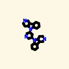 c1ccc2c(c1)c1cnccc1n2-c1cncc(-n2c3ccccc3c3cnccc32)c1